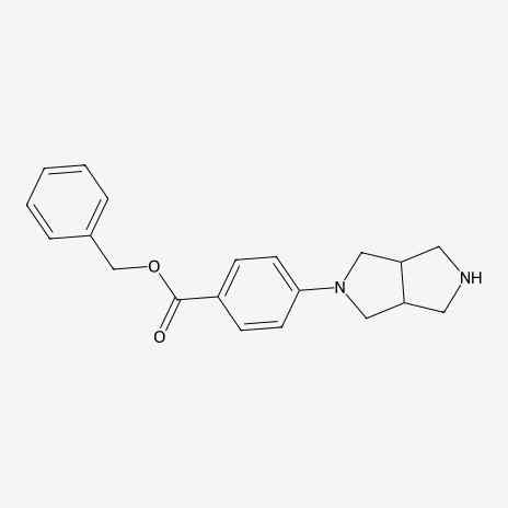 O=C(OCc1ccccc1)c1ccc(N2CC3CNCC3C2)cc1